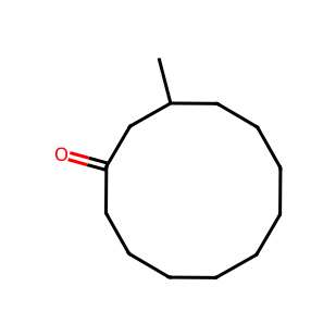 CC1CCCCCCCCCC(=O)C1